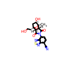 C[C@]12O[C@](CCO)(C[C@@H]1O)[C@H]1C(=O)N(c3ccc(C#N)c4nsnc34)C(=O)[C@H]12